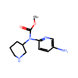 CC(C)(C)OC(=O)N(c1ccc(N)cn1)C1CCCNC1